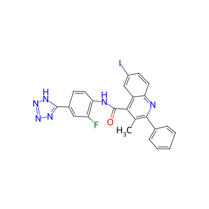 Cc1c(-c2ccccc2)nc2ccc(I)cc2c1C(=O)Nc1ccc(-c2nnn[nH]2)cc1F